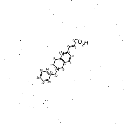 O=C(O)C=Cc1ccc2c(n1)CCN(Cc1ccccc1)C2